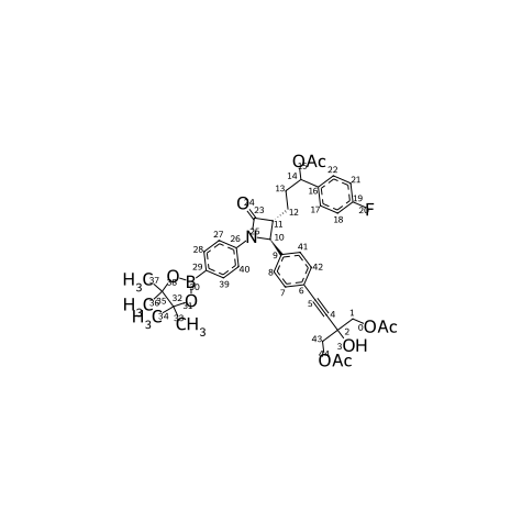 CC(=O)OCC(O)(C#Cc1ccc([C@@H]2[C@@H](CCC(OC(C)=O)c3ccc(F)cc3)C(=O)N2c2ccc(B3OC(C)(C)C(C)(C)O3)cc2)cc1)COC(C)=O